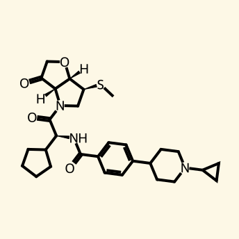 CS[C@H]1CN(C(=O)[C@@H](NC(=O)c2ccc(C3CCN(C4CC4)CC3)cc2)C2CCCC2)[C@@H]2C(=O)CO[C@H]12